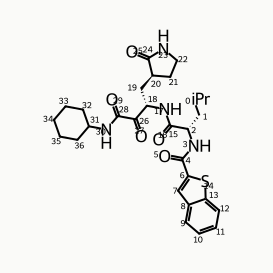 CC(C)C[C@H](NC(=O)c1cc2ccccc2s1)C(=O)N[C@@H](C[C@@H]1CCNC1=O)C(=O)C(=O)NC1CCCCC1